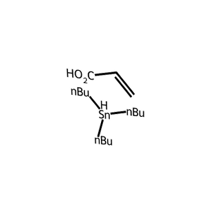 C=CC(=O)O.CCC[CH2][SnH]([CH2]CCC)[CH2]CCC